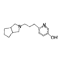 Oc1ccc(CCCN2CC3CCCC3C2)nc1